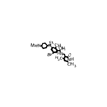 CCN(c1cc(Br)cc(C(O)NCc2c(C)cc(C)[nH]c2=O)c1C)C1CCC(NC)CC1